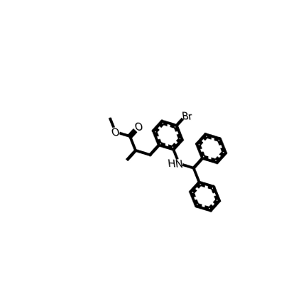 COC(=O)C(C)Cc1ccc(Br)cc1NC(c1ccccc1)c1ccccc1